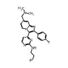 CC(C)CCNc1nccc(-c2c(-c3ccc(F)cc3)nc3cc(CN(C)C)ccn23)n1